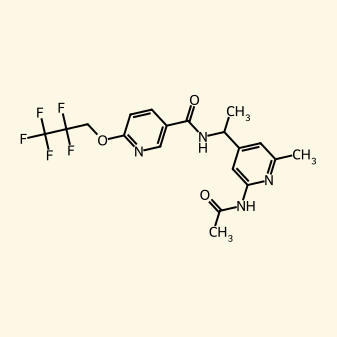 CC(=O)Nc1cc(C(C)NC(=O)c2ccc(OCC(F)(F)C(F)(F)F)nc2)cc(C)n1